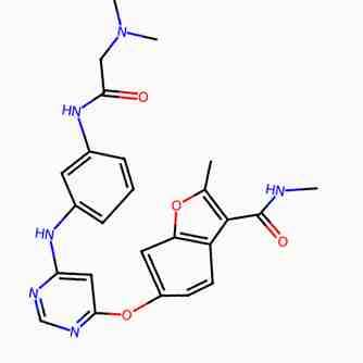 CNC(=O)c1c(C)oc2cc(Oc3cc(Nc4cccc(NC(=O)CN(C)C)c4)ncn3)ccc12